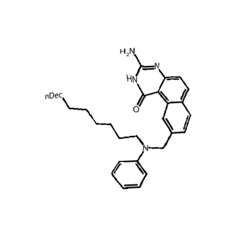 CCCCCCCCCCCCCCCCN(Cc1ccc2ccc3nc(N)[nH]c(=O)c3c2c1)c1ccccc1